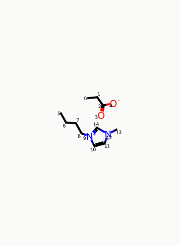 CCC(=O)[O-].CCCC[n+]1ccn(C)c1